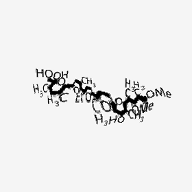 CC[C@@]1([C@@H]2O[C@@H]([C@H]3O[C@@](O)(CO)[C@H](C)C[C@@H]3C)C[C@@H]2C)CC[C@H]([C@]2(C)CC[C@]3(C[C@H](O)[C@@H](C)[C@@H]([C@@H](C)[C@@H](OC)C(C)C(=O)OC)O3)O2)O1